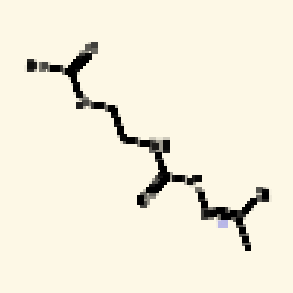 CC/C(C)=N\OC(=O)NCCOC(=O)C(C)(C)C